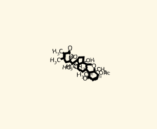 CC(=O)O[C@H]1C=CC(=O)[C@]2(C)C3CC[C@]4(C)[C@](O)([C@@](C)(O)C5CC(C)=C(C)C(=O)O5)CC[C@@]4(O)C3CO[C@@]12C